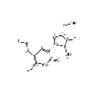 CCCn1cc([C@@H]2O[C@H](CO)C(O)C2O)c(=O)[nH]c1=O